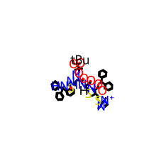 Cn1cc[n+](C)c1SCC1=C(C(=O)OC(c2ccccc2)c2ccccc2)N2C(=O)[C@@H](NC(=O)/C(=N\OC(C)(C)C(=O)OC(C)(C)C)c3csc(NC(c4ccccc4)(c4ccccc4)c4ccccc4)n3)[C@H]2SC1